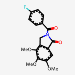 COc1cc2c(c(OC)c1OC)CN(C(=O)c1ccc(F)cc1)C2=O